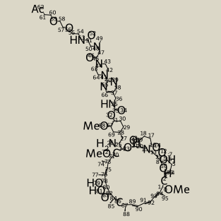 CO[C@H]1C[C@@H]2CC[C@@H](C)[C@@](O)(O2)C(=O)C(=O)N2CCCC[C@H]2C(=O)O[C@H]([C@H](N)C[C@@H]2CC[C@@H](OC(=O)NCc3cnc(N4CCN(C(=O)CN(C)CC(=O)NCCOCCOCCC(C)=O)CC4)nc3)[C@H](OC)C2)C[C@@H](OC)[C@H](C)/C=C(\C)[C@@H](O)[C@@H](O)C(=O)[C@H](C)C[C@H](C)/C=C/C=C/C=C/1C